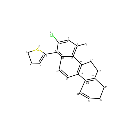 Cc1cc(Cl)c(C2=CCCS2)c2ccc3c(c12)CCC1=C3C=CCC1